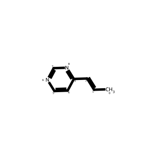 CC=Cc1ccncn1